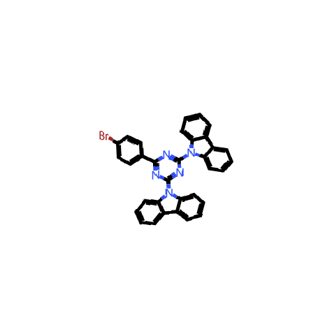 Brc1ccc(-c2nc(-n3c4ccccc4c4ccccc43)nc(-n3c4ccccc4c4ccccc43)n2)cc1